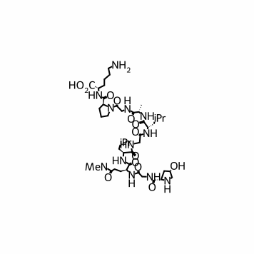 CNC(=O)CC[C@H](NC(=O)CNC(=O)[C@@H]1C[C@H](O)CN1)C(=O)N[C@@H](CC(C)C)C(=O)NCC(=O)N[C@@H](CC(C)C)C(=O)N[C@@H](C)C(=O)NCC(=O)N1CCC[C@H]1C(=O)N[C@@H](CCCCN)C(=O)O